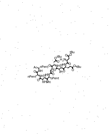 CCCCC[C@H](NC(=O)[C@H](CCCCC)NC(=O)[C@H](CCCCC)NC(=O)[C@H](CCCCC)NC(=O)CNC(=O)[C@H](CC(=O)OC(C)(C)C)NC(=O)[C@@H](NC(=O)[C@H](CCC(=O)OC(C)(C)C)NC(=O)[C@@H](N)CC(=O)OC(C)(C)C)C(C)C)C(C)=O